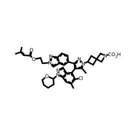 CC(C)=CC(=O)OCCn1cc2cc(-c3nn(C4CC5(C4)CN(C(=O)O)C5)c(C)c3-c3c(Cl)c(C)cc4c3cnn4C3CCCCO3)ccc2n1